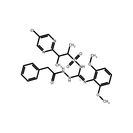 COc1cccc(OC)c1/N=C(/NNC(=O)Cc1ccccc1)NS(=O)(=O)C(C)C(C)c1ncc(Cl)cn1